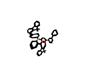 CC1(C)c2ccccc2-c2c(-c3ccccc3N(c3ccc(-c4cccc(-c5ccccc5)c4)cc3)c3ccc(-c4cccc5c4C(C)(C)c4ccccc4-5)cc3)cccc21